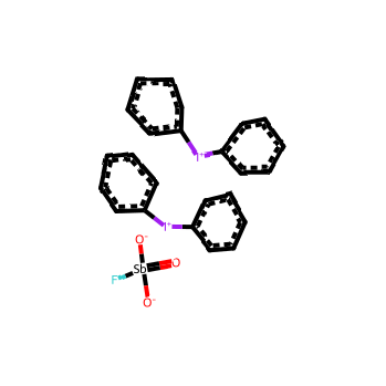 [O]=[Sb]([O-])([O-])[F].c1ccc([I+]c2ccccc2)cc1.c1ccc([I+]c2ccccc2)cc1